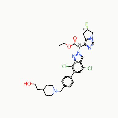 CCOC(=O)[C@@H](c1ncn2c1C[C@@H](F)C2)n1cc2c(Cl)cc(-c3ccc(CN4CCC(CCO)CC4)cc3)c(Cl)c2n1